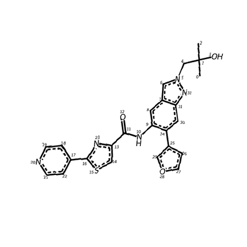 CC(C)(O)Cn1cc2cc(NC(=O)c3csc(-c4ccncc4)n3)c(-c3ccoc3)cc2n1